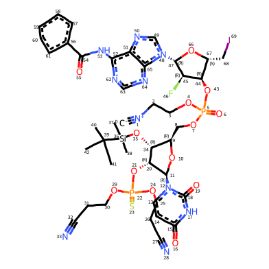 [C-]#[N+]CCOP(=O)(OC[C@H]1O[C@@H](n2ccc(=O)[nH]c2=O)[C@H](OP(=S)(OCCC#N)OCCC#N)[C@@H]1O[Si](C)(C)C(C)(C)C)O[C@H]1[C@@H](F)[C@H](n2cnc3c(NC(=O)c4ccccc4)ncnc32)O[C@@H]1CI